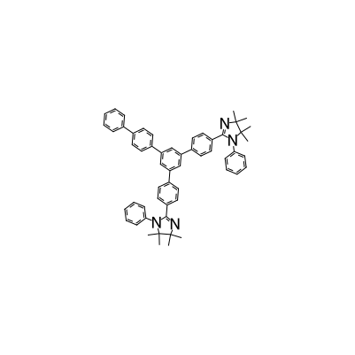 CC1(C)N=C(c2ccc(-c3cc(-c4ccc(C5=NC(C)(C)C(C)(C)N5c5ccccc5)cc4)cc(-c4ccc(-c5ccccc5)cc4)c3)cc2)N(c2ccccc2)C1(C)C